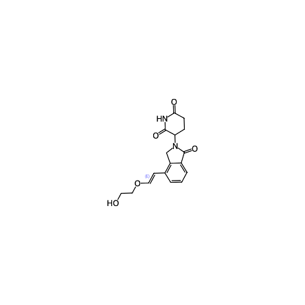 O=C1CCC(N2Cc3c(/C=C/OCCO)cccc3C2=O)C(=O)N1